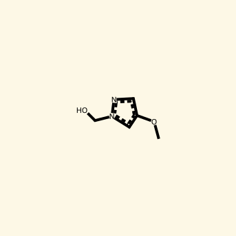 COc1cnn(CO)c1